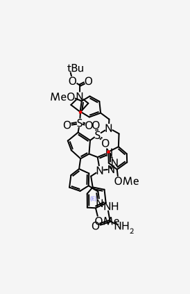 COc1ccc(CN(Cc2ccc(OC)cc2)S(=O)(=O)c2c(S(=O)(=O)C3CN(C(=O)OC(C)(C)C)C3)ccc(-c3cccc(/C=N/NC(N)=O)c3)c2-c2nnnn2Cc2ccc(OC)cc2)cc1